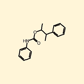 CC(OC(=O)Nc1ccccc1)C(C)c1ccccc1